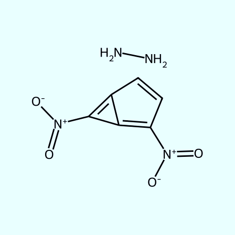 NN.O=[N+]([O-])c1ccc2c([N+](=O)[O-])c1-2